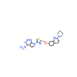 Nc1ncnc2c1ccn2-c1csc(COc2ccc3ccc(N4CCCC4)nc3c2)n1